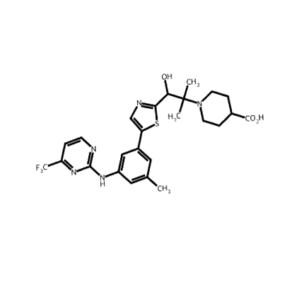 Cc1cc(Nc2nccc(C(F)(F)F)n2)cc(-c2cnc(C(O)C(C)(C)N3CCC(C(=O)O)CC3)s2)c1